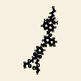 C=CC(=O)OCCN(CCOC(=O)C=C)S(=O)(=O)c1ccc(/N=N/c2ccc(/N=N/c3ccc4c5c(cccc35)NC(C)(CCCCC)N4)c3ccccc23)cc1